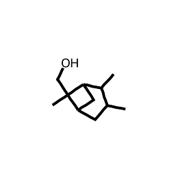 CC1CC2CC(C1C)C2(C)CO